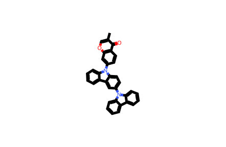 Cc1coc2cc(-n3c4ccccc4c4cc(-n5c6ccccc6c6ccccc65)ccc43)ccc2c1=O